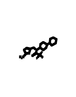 Nc1nc(CN(C(=O)C(F)(F)F)C2CCN(C3CCCCC3)CC2)cs1